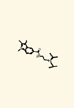 Cc1c(C)n(C)c2ccc(C(=O)NCCN(C(C)C)C(C)C)cc12